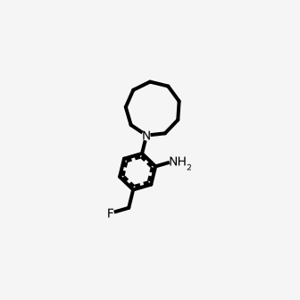 Nc1cc(CF)ccc1N1CCCCCCCC1